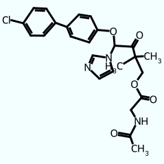 CC(=O)NCC(=O)OCC(C)(C)C(=O)C(Oc1ccc(-c2ccc(Cl)cc2)cc1)n1ccnc1